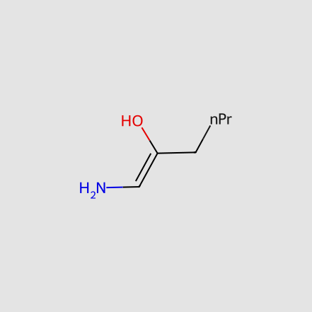 CCCC/C(O)=C/N